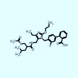 CCCOc1nc(CC)c(CNC(=O)C(CSC(C)=O)CC(C)C)n1Cc1ccc(-c2ccccc2C(=O)O)cc1F